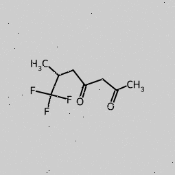 CC(=O)CC(=O)CC(C)C(F)(F)F